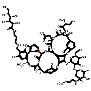 CCCCCCCCCCNCCNC1(CC)C[C@H](O[C@@H]2C(O)C(O)[C@@H](CO)O[C@H]2Oc2c3cc4cc2Oc2ccc(cc2Cl)[C@@H](O)[C@@H](NC(=O)[C@@H](CC(C)C)NC)C(=O)N[C@@H](CC(N)=O)C(=O)N[C@H]4C(=O)N[C@H]2C(=O)N[C@H](C(=O)N[C@H](C(=O)O)c4cc(O)c(CNCCCNC(=O)[C@H](O)[C@@H](O)[C@H](O)[C@H](O)CO)c(O)c4-c4cc2ccc4O)[C@H](O)c2ccc(c(Cl)c2)O3)O[C@@H](C)[C@H]1O